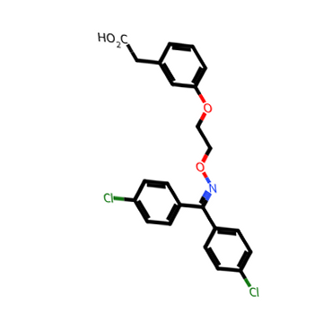 O=C(O)Cc1cccc(OCCON=C(c2ccc(Cl)cc2)c2ccc(Cl)cc2)c1